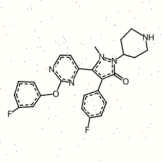 Cn1c(-c2ccnc(Oc3cccc(F)c3)n2)c(-c2ccc(F)cc2)c(=O)n1C1CCNCC1